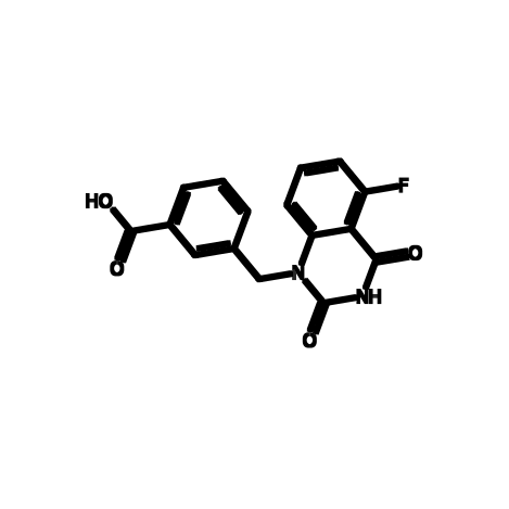 O=C(O)c1cccc(Cn2c(=O)[nH]c(=O)c3c(F)cccc32)c1